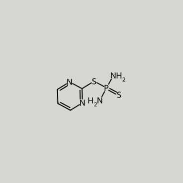 NP(N)(=S)Sc1ncccn1